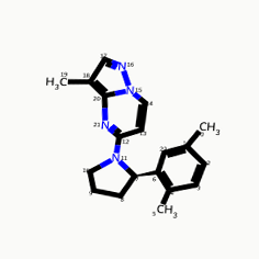 Cc1ccc(C)c([C@H]2CCCN2c2ccn3ncc(C)c3n2)c1